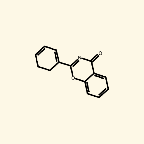 O=c1nc(C2=CC=CCC2)oc2ccccc12